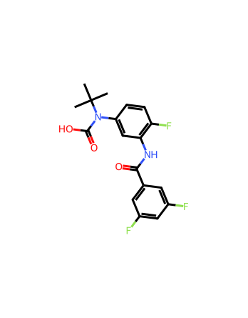 CC(C)(C)N(C(=O)O)c1ccc(F)c(NC(=O)c2cc(F)cc(F)c2)c1